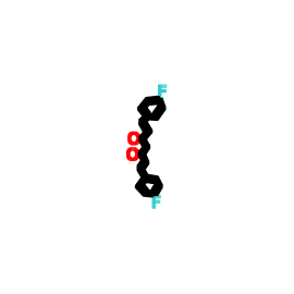 O=C(C=Cc1ccc(F)cc1)CC(=O)C=Cc1ccc(F)cc1